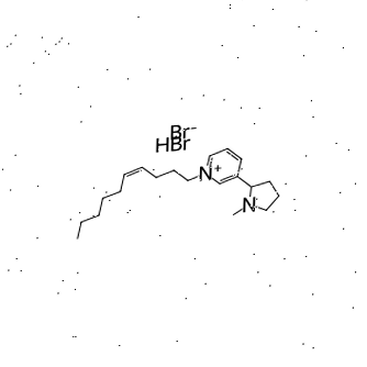 Br.CCCCC/C=C\CCC[n+]1cccc(C2CCCN2C)c1.[Br-]